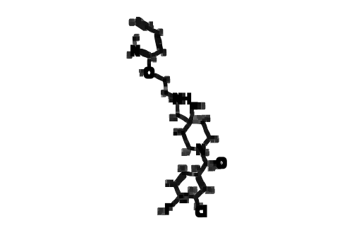 C#C/C=C\C(=N/C)OCCNCC1(F)CCN(C(=O)c2ccc(F)c(Cl)c2)CC1